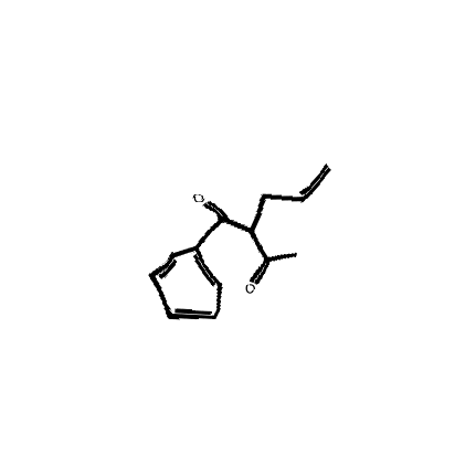 C=CCC(C(C)=O)C(=O)c1ccccc1